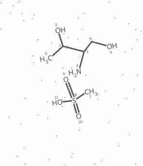 CC(O)C(N)CO.CS(=O)(=O)O